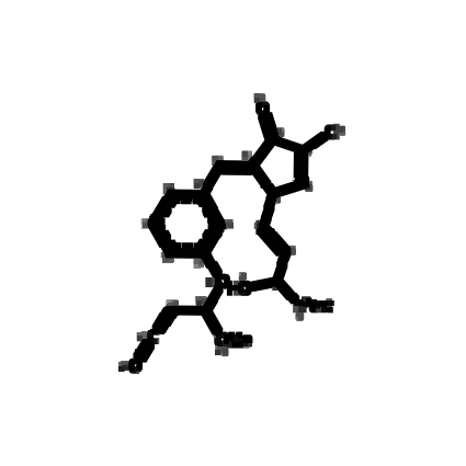 CCCCCC(O)C=CC1C=C(Cl)C(=O)C1=Cc1cccc(OC(C=C=O)OC)c1